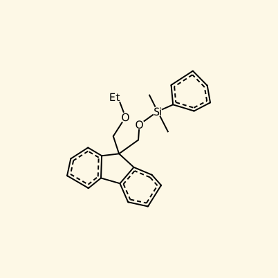 CCOCC1(CO[Si](C)(C)c2ccccc2)c2ccccc2-c2ccccc21